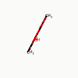 CCCCCCCCCCCCCCCCCCCCCCCCCCCCCCCC(CCCCCCCCCCCCCCCCCC)C(=O)O